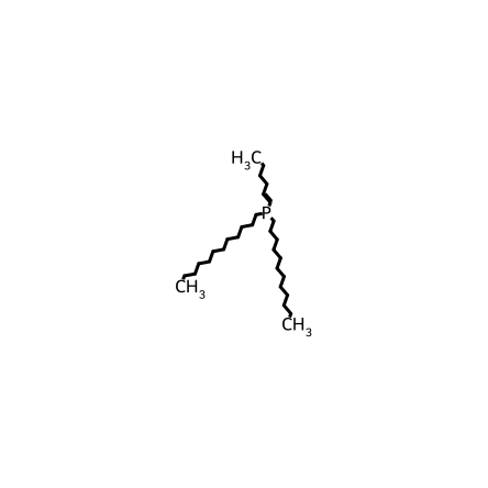 CCCCC=CP(CCCCCCCCCCCC)CCCCCCCCCCCC